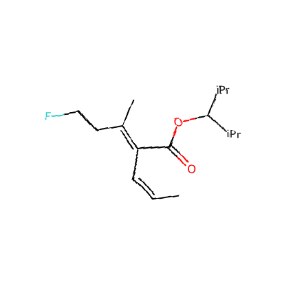 C/C=C\C(C(=O)OC(C(C)C)C(C)C)=C(\C)CCF